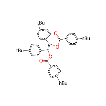 CCCCc1ccc(C(=O)OC(=C(OC(=O)c2ccc(CCCC)cc2)c2ccc(C(C)(C)C)cc2)c2ccc(C(C)(C)C)cc2)cc1